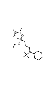 CCO[Si](C)(CCCN(C1CCCCC1)C(C)(C)C)OC(C)[SiH](C)C